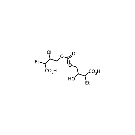 CCC(C(=O)O)C(O)CO[PH](=O)OCC(O)C(CC)C(=O)O